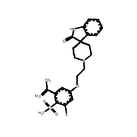 C=C(C)c1cc(OCCN2CCC3(CC2)C(=O)Nc2ccccc23)cc(F)c1S(C)(=O)=O